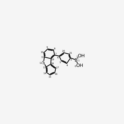 OB(O)c1ccc(-c2cccc3sc4ccccc4c23)cc1